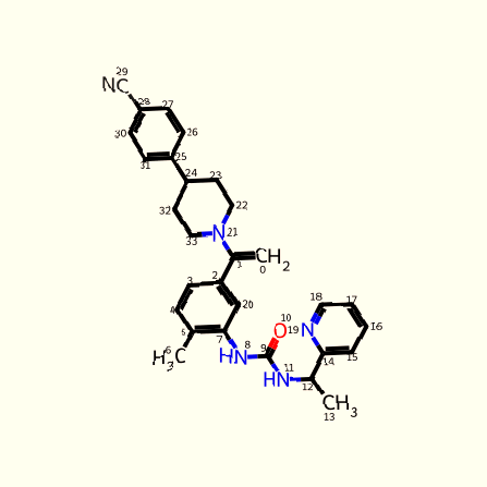 C=C(c1ccc(C)c(NC(=O)NC(C)c2ccccn2)c1)N1CCC(c2ccc(C#N)cc2)CC1